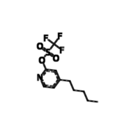 CCCCCc1ccnc(OS(=O)(=O)C(F)(F)F)c1